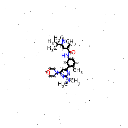 C=N/C(=C\C(=C/C)C(=O)Nc1ccc(C)c(-c2cc(N3CCOCC3)nc(N(C)C)n2)c1)C(C)C